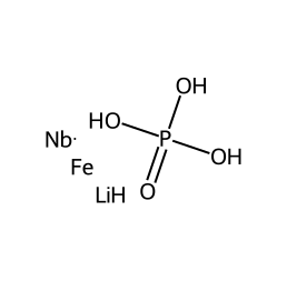 O=P(O)(O)O.[Fe].[LiH].[Nb]